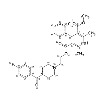 COC(=O)C1=C(C)NC(C)=C(C(=O)OCCN2CCC(C(=O)c3ccc(F)cc3)CC2)C1c1ccccc1Cl